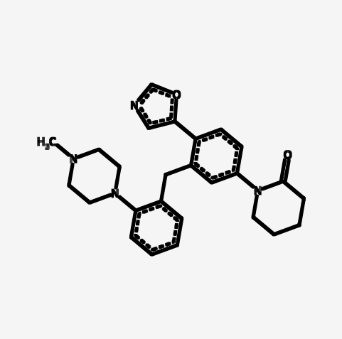 CN1CCN(c2ccccc2Cc2cc(N3CCCCC3=O)ccc2-c2cnco2)CC1